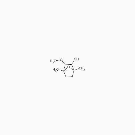 COC1C(O)C2(C)CCC1(C)O2